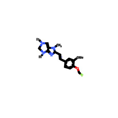 CCN1C=C2C(=NC(/C=C/c3ccc(OCF)c(OC)c3)N2C)N(CC)C1